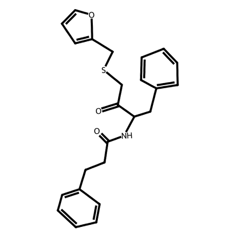 O=C(CCc1ccccc1)NC(Cc1ccccc1)C(=O)CSCc1ccco1